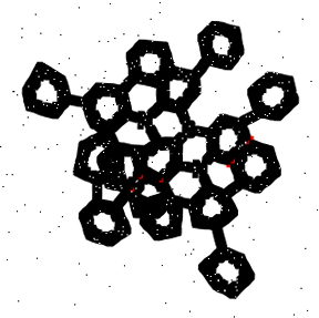 c1ccc(-c2ccc3c(c2)B2c4cc(-c5ccccc5)ccc4N(c4c(-c5ccccc5)cc(-c5ccccc5)cc4-c4ccccc4)c4cc(C5(c6ccccc6)c6ccccc6-c6ccccc65)cc(c42)N3c2c(-c3ccccc3)cc(-c3ccccc3)cc2-c2ccccc2)cc1